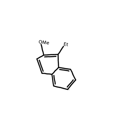 CCc1c(OC)ccc2c[c]ccc12